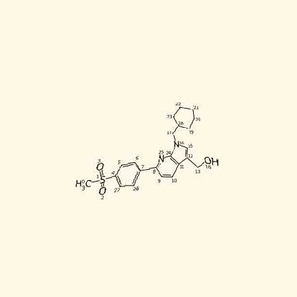 CS(=O)(=O)c1ccc(-c2ccc3c(CO)cn(CC4CCCCC4)c3n2)cc1